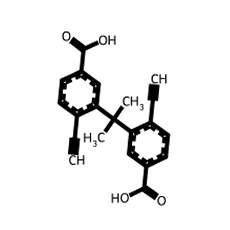 C#Cc1ccc(C(=O)O)cc1C(C)(C)c1cc(C(=O)O)ccc1C#C